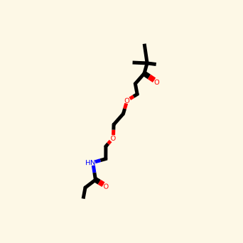 CCC(=O)NCCOCCOCCC(=O)C(C)(C)C